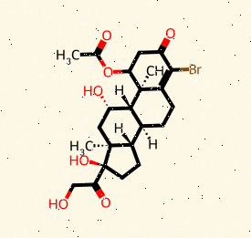 CC(=O)OC1CC(=O)C(Br)=C2CC[C@@H]3[C@H]([C@@H](O)C[C@@]4(C)[C@H]3CC[C@]4(O)C(=O)CO)[C@]21C